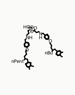 CCCCCC(CCCOc1ccc(CNCCCP(=O)(O)OC(=O)CCNCc2ccc(OCCCC(CCCC)Cc3ccc(C)c(C)c3)cc2)cc1)Cc1ccc(C)c(C)c1